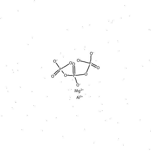 O=P([O-])([O-])OP(=O)([O-])OP(=O)([O-])[O-].[Al+3].[Mg+2]